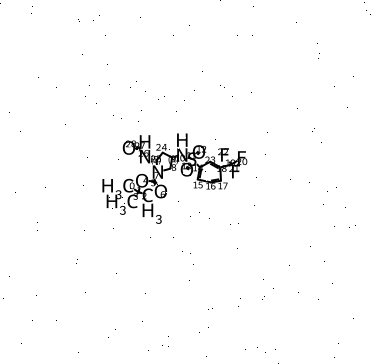 CC(C)(C)OC(=O)N1C[C@H](NS(=O)(=O)c2cccc(C(F)(F)F)c2)C[C@H]1NC=O